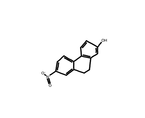 O=[N+]([O-])c1ccc2c(c1)CCc1cc(O)ccc1-2